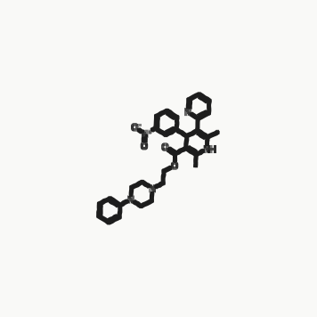 CC1=C(C(=O)OCCN2CCN(c3ccccc3)CC2)C(c2cccc([N+](=O)[O-])c2)C(c2ccccn2)=C(C)N1